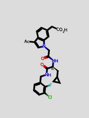 CC(=O)c1cn(CC(=O)N[C@@H](CC2CC2)C(=O)NCc2cccc(Cl)c2F)c2cc(CC(=O)O)ccc12